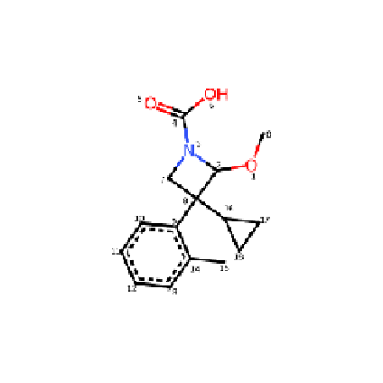 COC1N(C(=O)O)CC1(c1ccccc1C)C1CC1